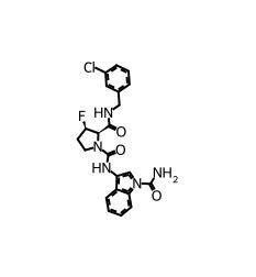 NC(=O)n1cc(NC(=O)N2CC[C@@H](F)[C@H]2C(=O)NCc2cccc(Cl)c2)c2ccccc21